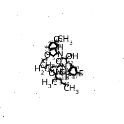 C=CCO[C@@H]1C[C@H](NC[C@@H](O)[C@H](Cc2cc(F)cc(F)c2)NC(=O)[C@H](CC=C)N(C)C(=O)[C@@H](C)CCCC)c2cc(OC)ccc21